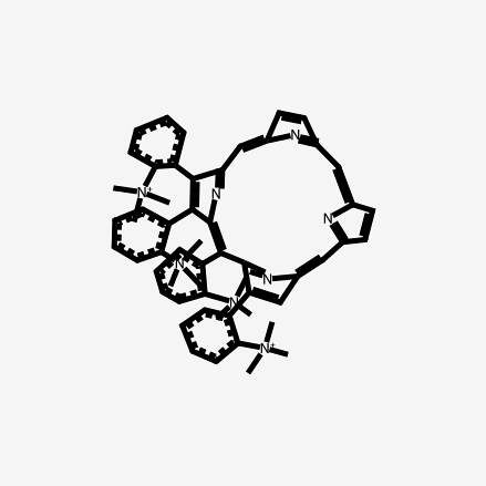 C[N+](C)(C)c1ccccc1C1=CC2=CC3=NC(=CC4=NC(=CC5=NC(=C(c6ccccc6[N+](C)(C)C)C1=N2)C(c1ccccc1[N+](C)(C)C)=C5c1ccccc1[N+](C)(C)C)C=C4)C=C3